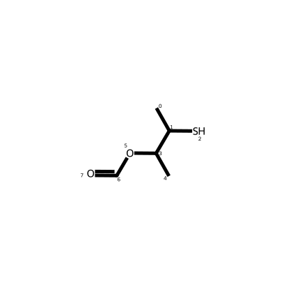 CC(S)C(C)OC=O